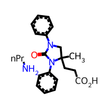 CC1(CCC(=O)O)CN(c2ccccc2)C(=O)N1c1ccccc1.CCCN